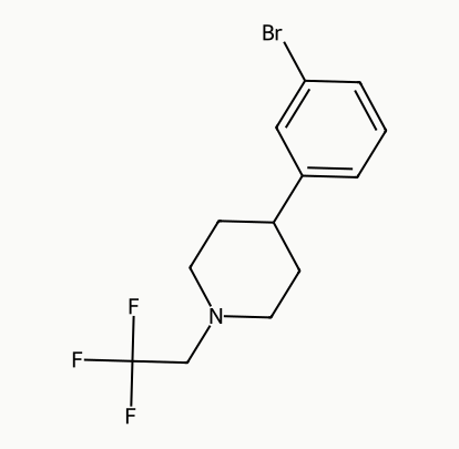 FC(F)(F)CN1CCC(c2cccc(Br)c2)CC1